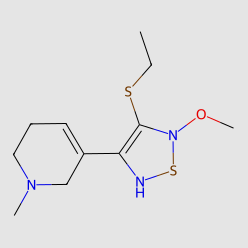 CCSC1=C(C2=CCCN(C)C2)NSN1OC